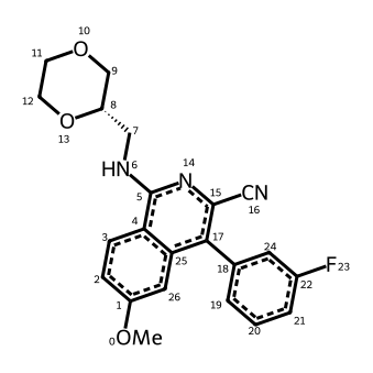 COc1ccc2c(NC[C@H]3COCCO3)nc(C#N)c(-c3cccc(F)c3)c2c1